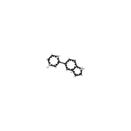 c1cnc(-c2ccc3occc3c2)cn1